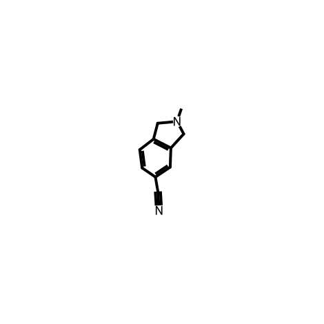 CN1Cc2ccc(C#N)cc2C1